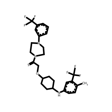 Cc1ccc(NC2CCC(OCC(=S)N3CCN(c4cccc(C(F)(F)F)c4)CC3)CC2)cc1C(F)(F)F